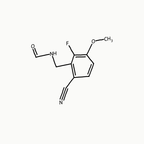 COc1ccc(C#N)c(CNC=O)c1F